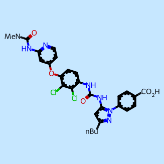 CCCCc1cc(NC(=O)Nc2ccc(Oc3ccnc(NC(=O)NC)c3)c(Cl)c2Cl)n(-c2ccc(C(=O)O)cc2)n1